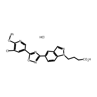 CC(C)Oc1ncc(-c2nc(-c3ccc4c(cnn4CCCC(=O)O)c3)no2)cc1Cl.Cl